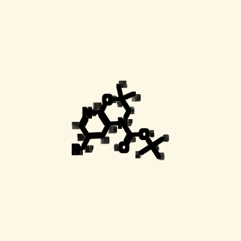 CC(C)(C)OC(=O)N1CC(C)(C)Oc2ncc(Br)cc21